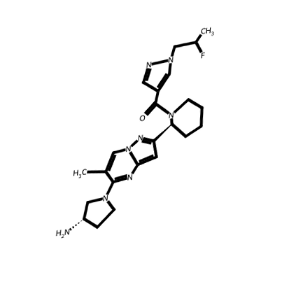 Cc1cn2nc([C@@H]3CCCCN3C(=O)c3cnn(CC(C)F)c3)cc2nc1N1CC[C@H](N)C1